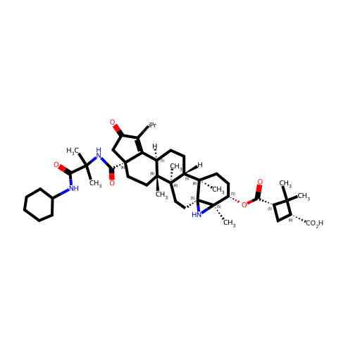 CC(C)C1=C2[C@H]3CC[C@@H]4[C@@]5(C)CC[C@H](OC(=O)[C@H]6C[C@@H](C(=O)O)C6(C)C)[C@@]6(C)N[C@@]56CC[C@@]4(C)[C@]3(C)CC[C@@]2(C(=O)NC(C)(C)C(=O)NC2CCCCC2)CC1=O